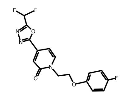 O=c1cc(-c2nnc(C(F)F)o2)ccn1CCOc1ccc(F)cc1